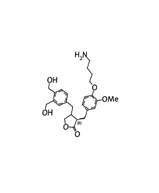 COc1cc(C[C@H]2C(=O)OCC2Cc2ccc(CO)c(CO)c2)ccc1OCCCCN